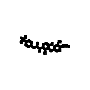 COc1ncc(Oc2c(Cl)ccc(NC(=O)Cc3ccc(S(C)(=O)=O)cc3)c2Cl)cc1C(C)C